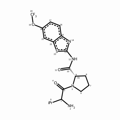 CC(C)C(N)C(=O)N1CCC[C@H]1C(=O)Nc1nc2ccc(OC(F)(F)F)cc2s1